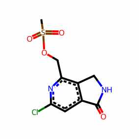 CS(=O)(=O)OCc1nc(Cl)cc2c1CNC2=O